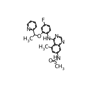 Cc1cc(/N=[SH](/C)=O)cc2ncnc(Nc3ccc(F)cc3OC(C)c3ccccn3)c12